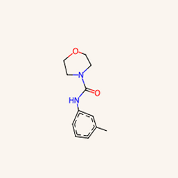 Cc1cccc(NC(=O)N2CCOCC2)c1